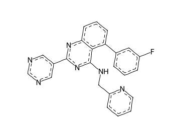 Fc1cccc(-c2cccc3nc(-c4cncnc4)nc(NCc4ccccn4)c23)c1